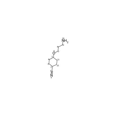 N#CC1CCC(OCCCN)CC1